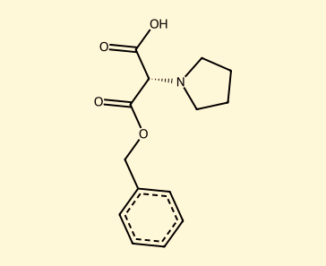 O=C(O)[C@@H](C(=O)OCc1ccccc1)N1CCCC1